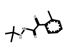 Cc1ccccc1C(=O)C(=O)NNC(C)(C)C